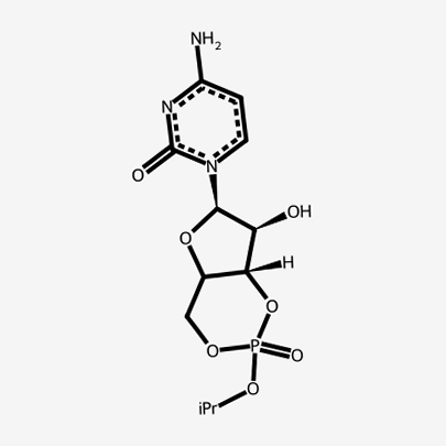 CC(C)OP1(=O)OCC2O[C@@H](n3ccc(N)nc3=O)[C@@H](O)[C@@H]2O1